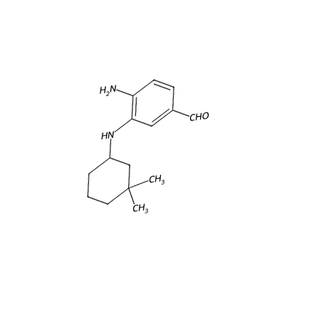 CC1(C)CCCC(Nc2cc(C=O)ccc2N)C1